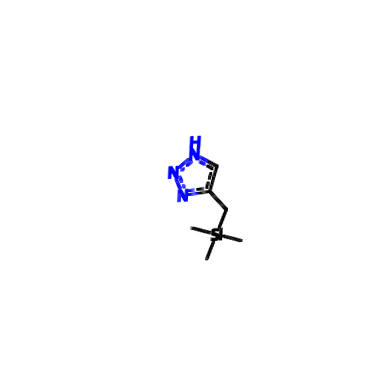 C[Si](C)(C)Cc1c[nH]nn1